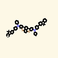 CC1(C)c2ccccc2-c2ccc(-c3ccc(N(c4ccccc4)c4ccc5c(c4)Sc4ccc6c7c(ccc-5c47)-c4ccc(N(c5ccccc5)c5ccc(-c7ccc8c(c7)C(C)(C)c7ccccc7-8)cc5)cc4S6)cc3)cc21